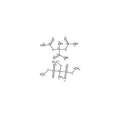 CCC(C)(S(=O)(=O)CC)S(=O)(=O)CC.O=C(O)CC(O)(CC(=O)O)C(=O)O